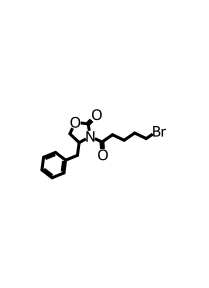 O=C(CCCCBr)N1C(=O)OCC1Cc1ccccc1